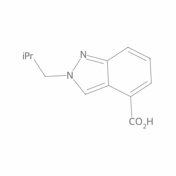 CC(C)Cn1cc2c(C(=O)O)cccc2n1